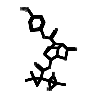 CC1(C)CC1(C(=O)OC1C2CC3C1OC(=O)C3C2C(=O)Oc1ccc(S(=O)(=O)O)cc1)C12NC1(C)N2